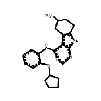 O=C(O)C1CCc2[nH]c3ncnc(Nc4ccccc4OC4CCCC4)c3c2C1